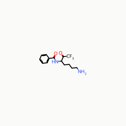 NCCCCC(NC(=O)c1ccccc1)C(=O)C(F)(F)F